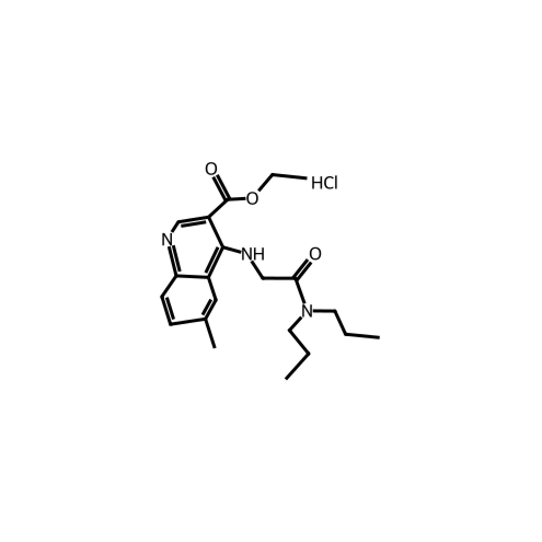 CCCN(CCC)C(=O)CNc1c(C(=O)OCC)cnc2ccc(C)cc12.Cl